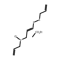 C=CCSSC=CC[S+]([O-])CC=C.CCOC(C)=O